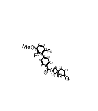 COc1ccc(F)c(-c2ccc(C(=O)N3CC4(CCC(=O)N4)C3)cc2)c1F